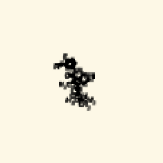 Cc1c(C(=O)Nc2ccc(F)c(C#N)c2)c2n(c1C(F)(F)C(=O)NC(C)(C)C)CCNC2